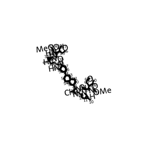 COC(=O)N[C@H](C(=O)N1C2C(C)C2C[C@H]1c1nc(Cl)c(-c2ccc3cc(-c4ccc5nc([C@@H]6C[C@H]7C[C@H]7N6C(=O)[C@@H](NC(=O)OC)C6CCOCC6)[nH]c5c4)ccc3c2)[nH]1)C1CCOCC1